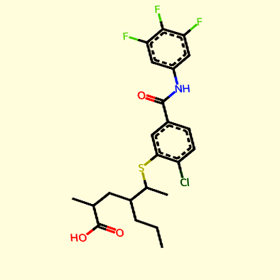 CCCC(CC(C)C(=O)O)C(C)Sc1cc(C(=O)Nc2cc(F)c(F)c(F)c2)ccc1Cl